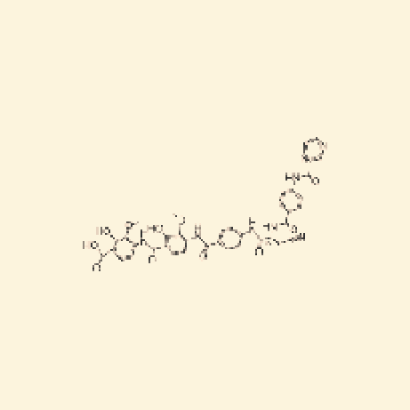 COc1c(NC(=O)c2ccc(NC(=O)c3ccc(NC(=O)[C@H](CC#N)NC(=O)c4ccc(NC(=O)c5cnccn5)cc4)cc3)c(OC)c2O)ccc(C(=O)O)c1O